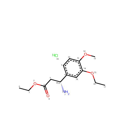 CCOC(=O)C[C@@H](N)c1ccc(OC)c(OCC)c1.Cl